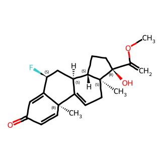 C=C(OC)[C@@]1(O)CC[C@H]2[C@@H]3C[C@H](F)C4=CC(=O)C=C[C@]4(C)C3=CC[C@@]21C